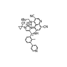 Cc1c(-c2ccncc2)cccc1[C@H](Nc1cc(C#N)c2ncc(C#N)c(NCC(C)(C)C)c2c1)C1=CN(C2(C(F)(F)F)CC2)NN1